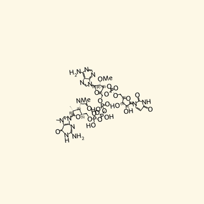 CNC(=O)C[C@H]1[C@@H](C)[C@H](n2c[n+](C)c3c(=O)[nH]c(N)nc32)O[C@@H]1COP(=O)(O)OP(=O)(O)OP(=O)(O)OC[C@H]1O[C@@H](n2cnc3c(N)ncnc32)[C@H](OC)[C@@H]1OP(=O)([O-])OC[C@H]1O[C@@H](n2ccc(=O)[nH]c2=O)[C@H](O)[C@@H]1O